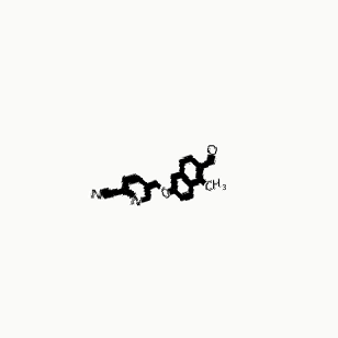 CC1=C(C=O)CCc2cc(OCc3ccc(C#N)nc3)ccc21